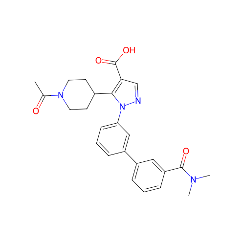 CC(=O)N1CCC(c2c(C(=O)O)cnn2-c2cccc(-c3cccc(C(=O)N(C)C)c3)c2)CC1